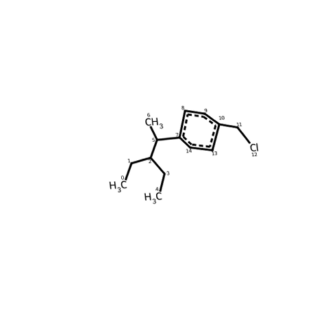 CCC(CC)C(C)c1ccc(CCl)cc1